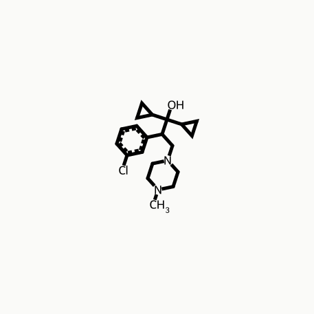 CN1CCN(CC(c2cccc(Cl)c2)C(O)(C2CC2)C2CC2)CC1